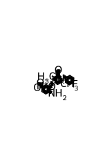 C[C@@H]1CN(COc2cc([N+](=O)[O-])ccc2N)[C@@H](C)C(=C=O)N1Cc1ccc(F)cc1